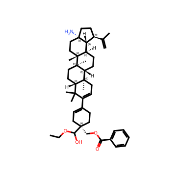 C=C(C)[C@@H]1CC[C@]2(N)CC[C@]3(C)[C@H](CC[C@@H]4[C@@]5(C)CC=C(C6=CC[C@](COC(=O)c7ccccc7)(C(O)OCC)CC6)C(C)(C)[C@@H]5CC[C@]43C)[C@@H]12